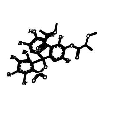 COC(C)C(=O)Oc1c(Br)cc(C2(c3cc(Br)c(O)c(Br)c3)OS(=O)(=O)c3c(Br)c(Br)c(Br)c(Br)c32)c(C(=O)C(C)OC)c1Br